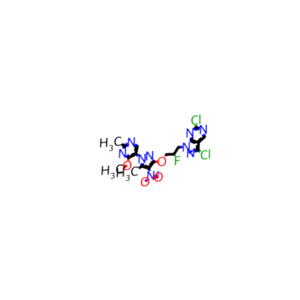 COc1nc(C)ncc1-n1nc(OC[C@@H](F)Cn2nc(Cl)c3cnc(Cl)nc32)c([N+](=O)[O-])c1C